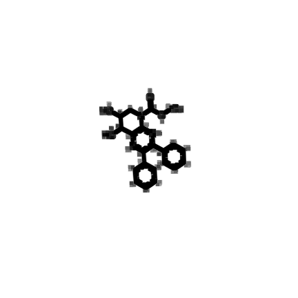 CC(C)(C)OC(=O)N1CC(O)C(O)c2nc(-c3ccccc3)c(-c3ccccc3)nc21